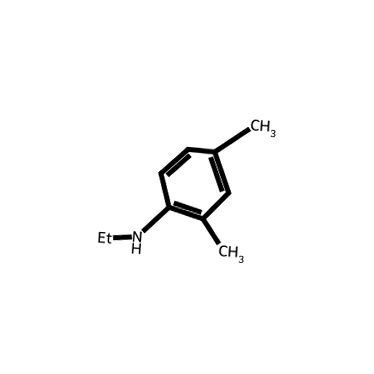 CCNc1ccc(C)cc1C